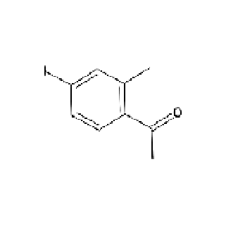 CC(=O)c1ccc(I)cc1C